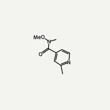 CON(C)C(=O)c1ccnc(C)c1